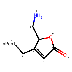 CCCCCCC1=CC(=O)OC1CN